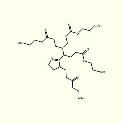 CCCCCCCCCCCCOC(=O)CCN(CCC(=O)OCCCCCCCCCCCC)N(CCC(=O)OCCCCCCCCCCCC)C1=NCCN1CCC(=O)CCCCCCCCCCCC